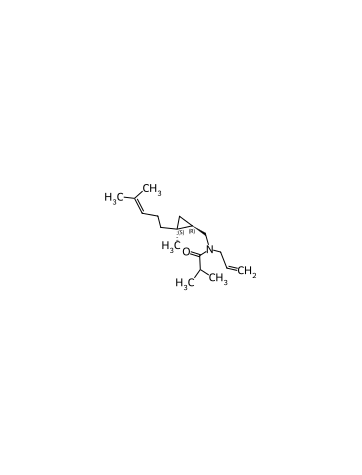 C=CCN(C[C@@H]1C[C@]1(C)CCC=C(C)C)C(=O)C(C)C